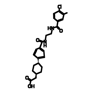 Cc1cc(C(=O)NCCNC(=O)c2ccc([C@H]3CC[C@H](CC(=O)O)CC3)cc2)ccc1Cl